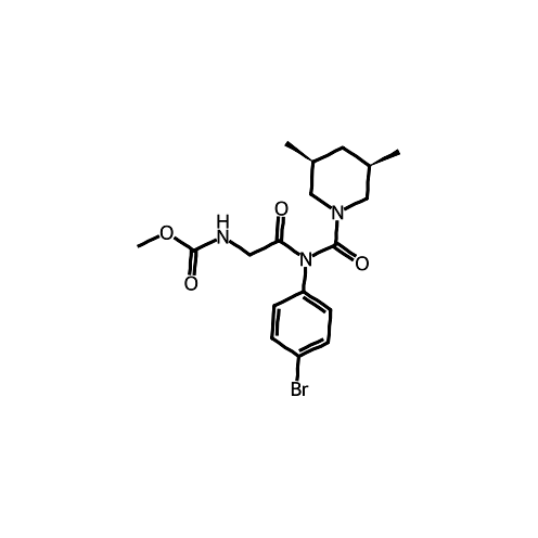 COC(=O)NCC(=O)N(C(=O)N1C[C@H](C)C[C@H](C)C1)c1ccc(Br)cc1